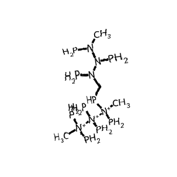 CN(P)N(P)N(P)CP[N+](C)(P)[N+](P)(P)[N+](C)(P)P